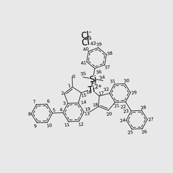 CC1=Cc2c(-c3ccccc3)cccc2[CH]1[Ti+2]([CH]1C(C)=Cc2c(-c3ccccc3)cccc21)[Si](C)(C)c1ccccc1.[Cl-].[Cl-]